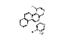 CCC1C=CCc2ccc3c4c(ccc3c21)CCC=C4.O.OC1=CCOC=C1